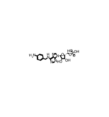 Nc1ccc(CNc2ncnc3c2ncn3[C@@H]2O[C@H](COP(=O)(O)O)[C@@H](O)[C@H]2O)cc1